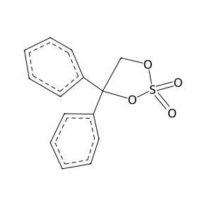 O=S1(=O)OCC(c2ccccc2)(c2ccccc2)O1